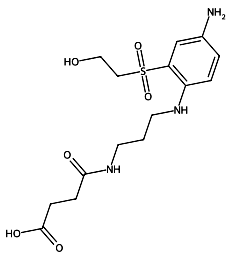 Nc1ccc(NCCCNC(=O)CCC(=O)O)c(S(=O)(=O)CCO)c1